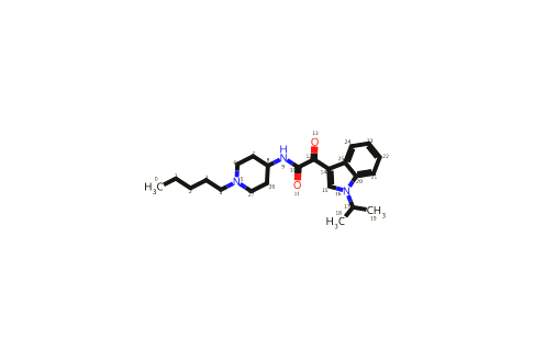 CCCCCN1CCC(NC(=O)C(=O)c2cn(C(C)C)c3ccccc23)CC1